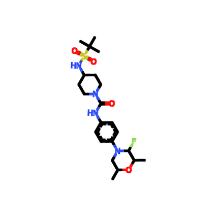 CC1CN(c2ccc(NC(=O)N3CCC(NS(=O)(=O)C(C)(C)C)CC3)cc2)C(F)C(C)O1